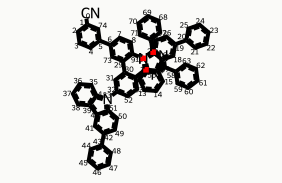 N#Cc1cccc(-c2ccc(-n3c4ccccc4c4cc(-c5ccccc5)ccc43)c(-c3cc(-n4c5ccccc5c5cc(-c6ccccc6)ccc54)ccc3-c3nc(-c4ccccc4)nc(-c4ccccc4)n3)c2)c1